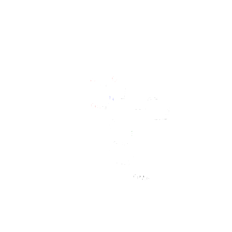 COc1ccc(/C=C/C(=O)N2C(=O)OC[C@@H]2Cc2ccccc2)c(F)c1